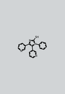 Sc1nc(-c2cccnc2)c(-c2cccnc2)n1-c1ccccc1